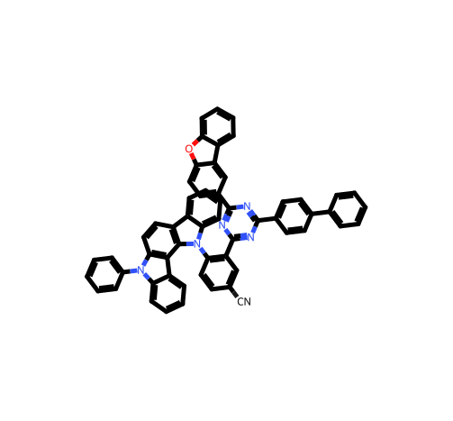 N#Cc1ccc(-n2c3ccccc3c3ccc4c(c5ccccc5n4-c4ccccc4)c32)c(-c2nc(-c3ccc(-c4ccccc4)cc3)nc(-c3ccc4oc5ccccc5c4c3)n2)c1